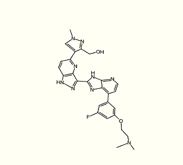 CN(C)CCOc1cc(F)cc(-c2ccnc3[nH]c(-c4n[nH]c5ccc(-c6cn(C)nc6CO)nc45)nc23)c1